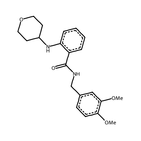 COc1ccc(CNC(=O)c2ccccc2NC2CCOCC2)cc1OC